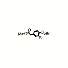 COC(=O)Cc1ccc(OCBr)c(Br)c1